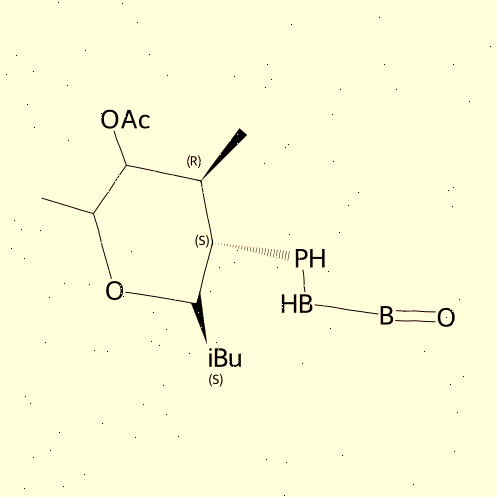 CC[C@H](C)C1OC(C)C(OC(C)=O)[C@@H](C)[C@@H]1PBB=O